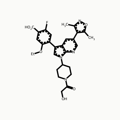 CCOc1cc(C(=O)O)c(F)cc1-c1cn(C2CCN(C(=O)CO)CC2)c2ncc(-c3c(C)noc3C)cc12